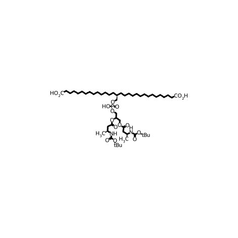 C[C@@H](CC(=O)OCC(COP(=O)(O)OC[C@H](CCCCCCCCCCCCCCC(=O)O)CCCCCCCCCCCCCC(=O)O)OC(=O)C[C@H](C)NC(=O)OC(C)(C)C)NC(=O)OC(C)(C)C